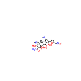 CO/N=C/c1ccc(-c2cc(N(C)C)c3c(c2O)C(=O)C2=C(O)[C@]4(O)C(=O)C(C(N)=O)=C(O)C(N(C)C)[C@@H]4C[C@H]2C3)o1